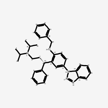 CC(C)N(CC[C@@H](c1ccccc1)c1cc(-n2nnc3ccccc32)ccc1OCc1ccccc1)C(C)C